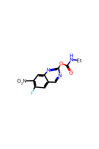 CCNC(=O)Oc1ncc2cc(F)c([N+](=O)[O-])cc2n1